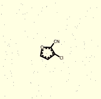 N#Cc1occc1Cl